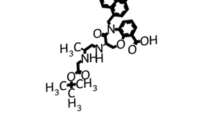 C[C@@H](CN[C@H]1COc2c(C(=O)O)cccc2N(Cc2ccc(Br)c3ccccc23)C1=O)NCC(=O)OC(C)(C)C